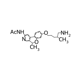 CC(=O)Nc1cc2c(cn1)C(C)Oc1cc(OCCCC(C)CN)ccc1-2